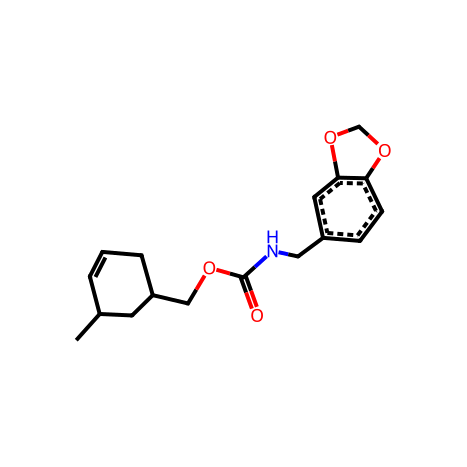 CC1C=CCC(COC(=O)NCc2ccc3c(c2)OCO3)C1